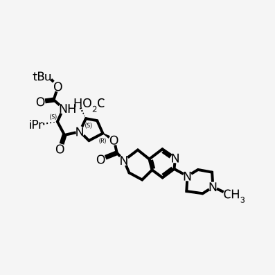 CC(C)[C@H](NC(=O)OC(C)(C)C)C(=O)N1C[C@H](OC(=O)N2CCc3cc(N4CCN(C)CC4)ncc3C2)C[C@H]1C(=O)O